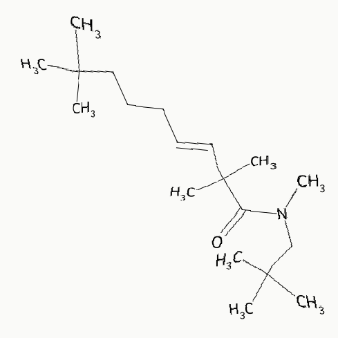 CN(CC(C)(C)C)C(=O)C(C)(C)C=CCCCC(C)(C)C